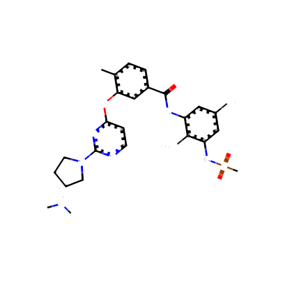 COc1c(NC(=O)c2ccc(C)c(Oc3ccnc(N4CC[C@@H](N(C)C)C4)n3)c2)cc(C(C)(C)C)cc1NS(C)(=O)=O